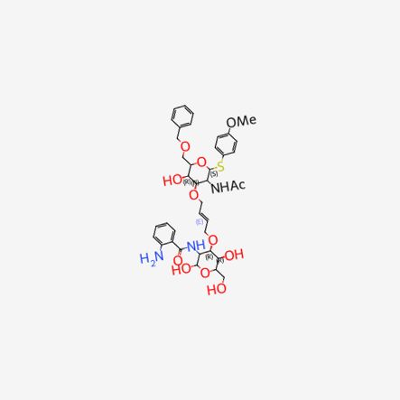 COc1ccc(S[C@@H]2OC(COCc3ccccc3)[C@H](O)[C@H](OC/C=C/CO[C@@H]3C(NC(=O)c4ccccc4N)C(O)OC(CO)[C@@H]3O)C2NC(C)=O)cc1